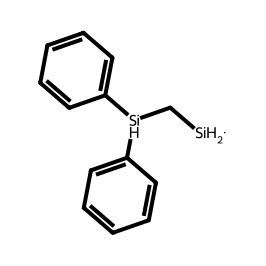 [SiH2]C[SiH](c1ccccc1)c1ccccc1